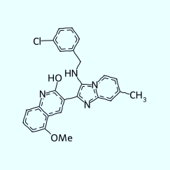 COc1cccc2nc(O)c(-c3nc4cc(C)ccn4c3NCc3cccc(Cl)c3)cc12